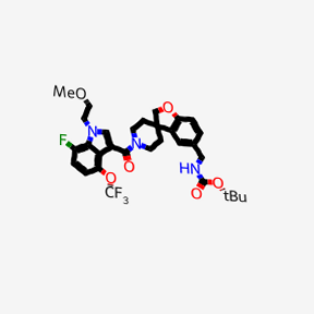 COCCn1cc(C(=O)N2CCC3(CC2)COc2ccc(CNC(=O)OC(C)(C)C)cc23)c2c(OC(F)(F)F)ccc(F)c21